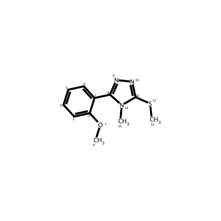 COc1ccccc1-c1nnc(SC)n1C